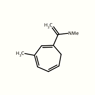 C=C(NC)C1=CC(C)=CC=CC1